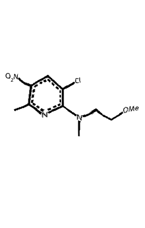 COCCN(C)c1nc(C)c([N+](=O)[O-])cc1Cl